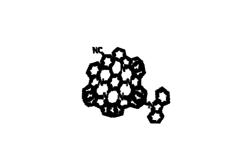 N#Cc1ccc(-c2c(-n3c4ccccc4c4ccccc43)c(-n3c4ccccc4c4ccccc43)c(-n3c4ccccc4c4cc(-n5c6ccccc6c6ccccc65)ccc43)c(-n3c4ccccc4c4ccccc43)c2-n2c3ccccc3c3ccccc32)cc1